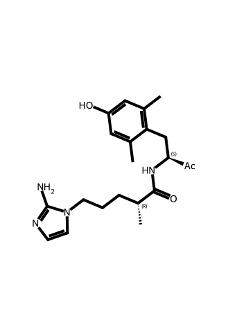 CC(=O)[C@H](Cc1c(C)cc(O)cc1C)NC(=O)[C@H](C)CCCn1ccnc1N